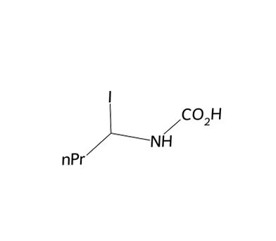 CCCC(I)NC(=O)O